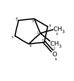 CC1(C)C2[CH]CC1C(=O)C2